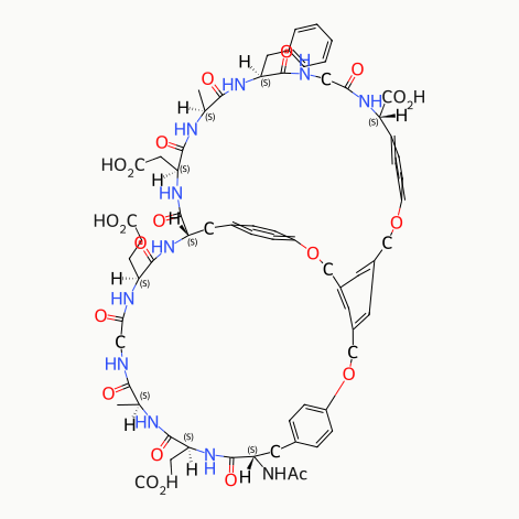 CC(=O)N[C@H]1Cc2ccc(cc2)OCc2cc3cc(c2)COc2ccc(cc2)[C@@H](C(=O)O)NC(=O)CNC(=O)[C@H](Cc2ccccc2)NC(=O)[C@H](C)NC(=O)[C@H](CC(=O)O)NC(=O)[C@H](Cc2ccc(cc2)OC3)NC(=O)[C@H](CCC(=O)O)NC(=O)CNC(=O)[C@H](C)NC(=O)[C@H](CC(=O)O)NC1=O